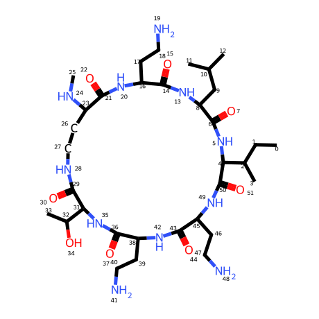 CCC(C)C1NC(=O)C(CC(C)C)NC(=O)C(CCN)NC(=O)C(NC)CCNC(=O)C(C(C)O)NC(=O)C(CCN)NC(=O)C(CCN)NC1=O